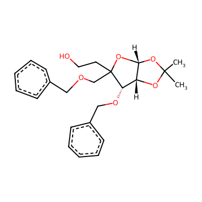 CC1(C)O[C@H]2OC(CCO)(COCc3ccccc3)[C@@H](OCc3ccccc3)[C@H]2O1